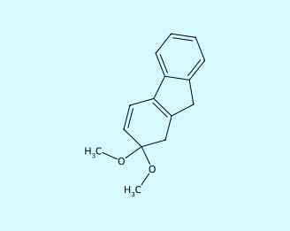 COC1(OC)C=CC2=C(Cc3ccccc32)C1